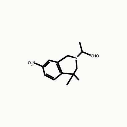 CC(C=O)N1Cc2cc([N+](=O)[O-])ccc2C(C)(C)C1